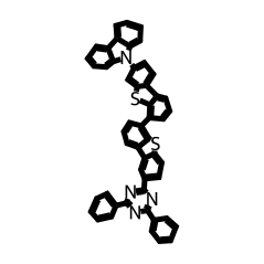 c1ccc(-c2nc(-c3ccccc3)nc(-c3ccc4sc5c(-c6cccc7c6sc6cc(-n8c9ccccc9c9ccccc98)ccc67)cccc5c4c3)n2)cc1